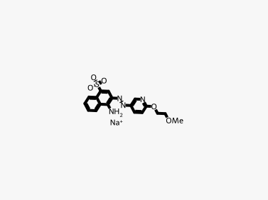 COCCOc1ccc(N=Nc2cc(S(=O)(=O)[O-])c3ccccc3c2N)cn1.[Na+]